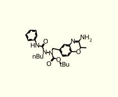 CCCCN(C(=O)Nc1ccccc1)N(Cc1ccc2c(c1)N=C(N)C(C)O2)C(=O)OC(C)(C)C